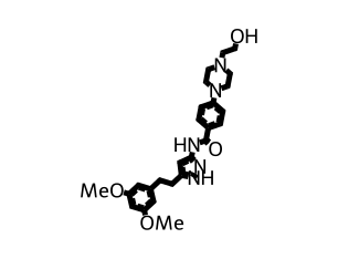 COc1cc(CCc2cc(NC(=O)c3ccc(N4CCN(CCO)CC4)cc3)n[nH]2)cc(OC)c1